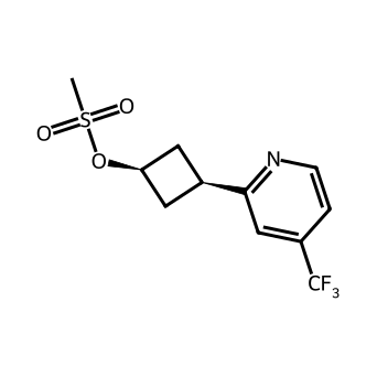 CS(=O)(=O)O[C@H]1C[C@@H](c2cc(C(F)(F)F)ccn2)C1